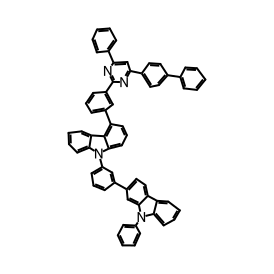 c1ccc(-c2ccc(-c3cc(-c4ccccc4)nc(-c4cccc(-c5cccc6c5c5ccccc5n6-c5cccc(-c6ccc7c8ccccc8n(-c8ccccc8)c7c6)c5)c4)n3)cc2)cc1